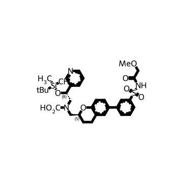 COCC(=O)NS(=O)(=O)c1cccc(-c2ccc3c(c2)CC[C@@H](CN(C[C@H](O[Si](C)(C)C(C)(C)C)c2cccnc2)C(=O)O)O3)c1